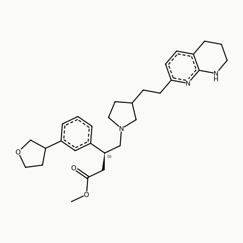 COC(=O)C[C@H](CN1CCC(CCc2ccc3c(n2)NCCC3)C1)c1cccc(C2CCOC2)c1